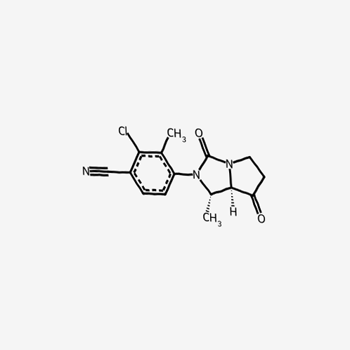 Cc1c(N2C(=O)N3CCC(=O)[C@H]3[C@@H]2C)ccc(C#N)c1Cl